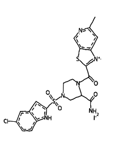 Cc1cc2c(cn1)SC(C(=O)N1CCN(S(=O)(=O)c3cc4cc(Cl)ccc4[nH]3)CC1C(N)=O)=[N+]2.[I-]